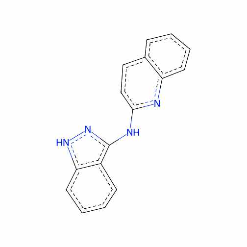 c1ccc2nc(Nc3n[nH]c4ccccc34)ccc2c1